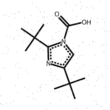 CC(C)(C)c1cn(C(=O)O)c(C(C)(C)C)n1